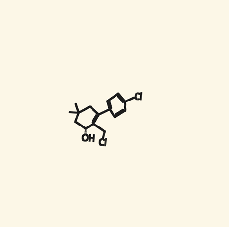 CC1(C)CC(c2ccc(Cl)cc2)=C(CCl)[C@H](O)C1